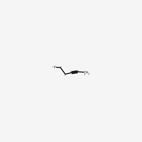 CC#CCCF